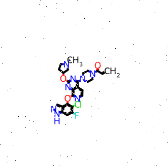 C=CC(=O)N1CCN(c2nc(OC3CCN(C)C3)nc3c(Oc4c(Cl)c(F)cc5[nH]ncc45)nccc23)CC1